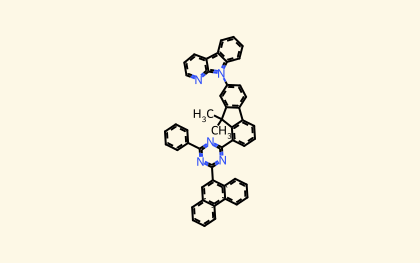 CC1(C)c2cc(-n3c4ccccc4c4cccnc43)ccc2-c2cccc(-c3nc(-c4ccccc4)nc(-c4cc5ccccc5c5ccccc45)n3)c21